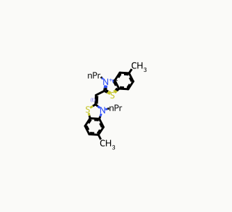 CCCN1/C(=C\c2sc3ccc(C)cc3[n+]2CCC)Sc2ccc(C)cc21